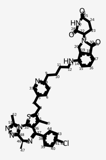 Cc1c(CCc2ccc(CCCCNc3cccc4c3CN(C3CCC(=O)NC3=O)C4=O)nc2)sc2c1C(c1ccc(Cl)cc1)=N[C@@H](C)c1nnc(C)n1-2